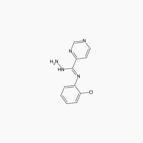 NN/C(=N\c1ccccc1Cl)c1ccncn1